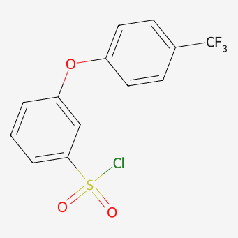 O=S(=O)(Cl)c1cccc(Oc2ccc(C(F)(F)F)cc2)c1